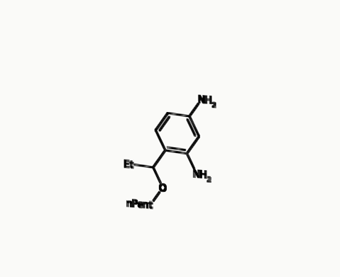 CCCCCOC(CC)c1ccc(N)cc1N